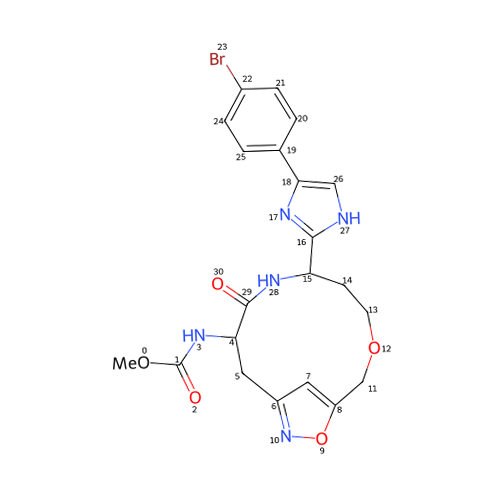 COC(=O)NC1Cc2cc(on2)COCCC(c2nc(-c3ccc(Br)cc3)c[nH]2)NC1=O